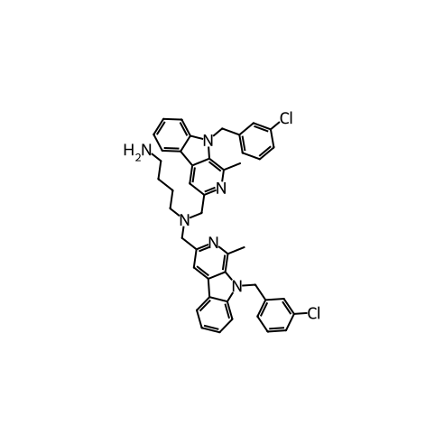 Cc1nc(CN(CCCCN)Cc2cc3c4ccccc4n(Cc4cccc(Cl)c4)c3c(C)n2)cc2c3ccccc3n(Cc3cccc(Cl)c3)c12